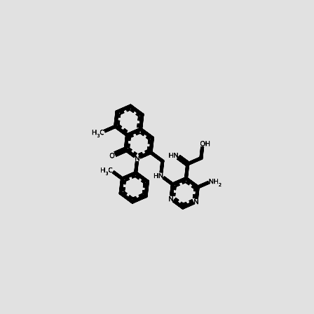 Cc1ccccc1-n1c(CNc2ncnc(N)c2C(=N)CO)cc2cccc(C)c2c1=O